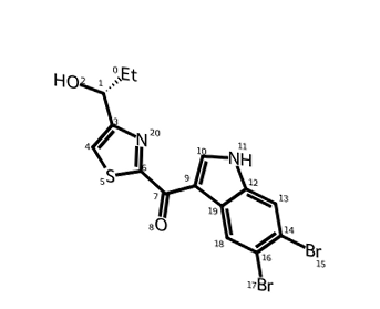 CC[C@@H](O)c1csc(C(=O)c2c[nH]c3cc(Br)c(Br)cc23)n1